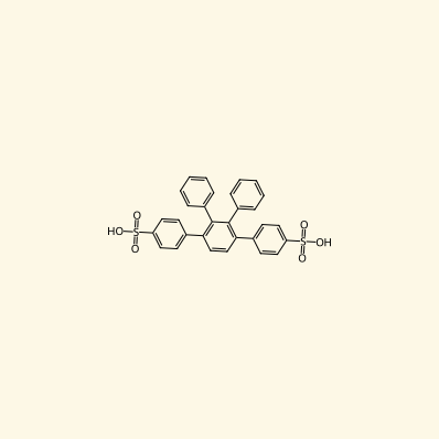 O=S(=O)(O)c1ccc(-c2ccc(-c3ccc(S(=O)(=O)O)cc3)c(-c3ccccc3)c2-c2ccccc2)cc1